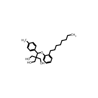 CCCCCCCCc1ccccc1OC(c1ccc(C)cc1)C(CO)(CO)CO